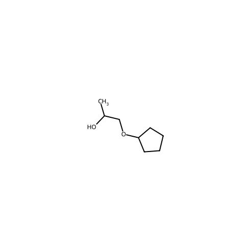 CC(O)COC1CCCC1